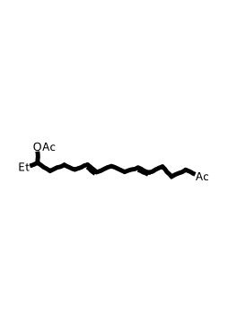 CCC(CCC/C=C/CC/C=C/CCCC(C)=O)OC(C)=O